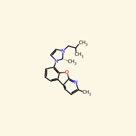 Cc1ccc2c(n1)oc1c(N3C=CN(CC(C)C)[C@@H]3C)cccc12